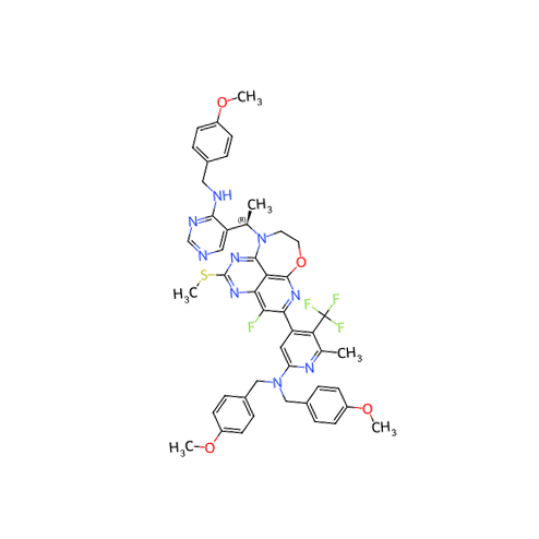 COc1ccc(CNc2ncncc2[C@@H](C)N2CCOc3nc(-c4cc(N(Cc5ccc(OC)cc5)Cc5ccc(OC)cc5)nc(C)c4C(F)(F)F)c(F)c4nc(SC)nc2c34)cc1